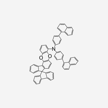 c1ccc2c(c1)-c1ccccc1C21c2ccccc2-c2c1ccc1c2Oc2cccc(N(c3ccc(-c4cccc5ccccc45)cc3)c3ccc(-c4cccc5ccccc45)cc3)c2O1